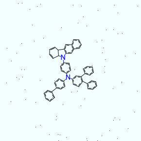 C1=CC2c3cc4ccccc4cc3N(c3ccc(N(c4ccc(-c5ccccc5)cc4)c4ccc(-c5ccccc5)c(-c5ccccc5)c4)cc3)C2C=C1